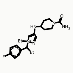 CCC(c1ccc(F)cc1)[N+]1(CC)C=C(NC2CCN(C(N)=O)CC2)C=N1